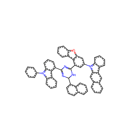 c1ccc(-n2c3ccccc3c3c(C4=NC(c5cccc6ccccc56)NC(c5cc(-n6c7ccccc7c7cc8ccccc8cc76)cc6oc7ccccc7c56)=N4)cccc32)cc1